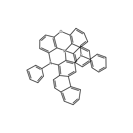 c1ccc(N2c3cccc4c3[Si]3(c5ccccc5)c5c(cccc5N(c5ccccc5)c5c3c2cc2c5ccc3ccccc32)O4)cc1